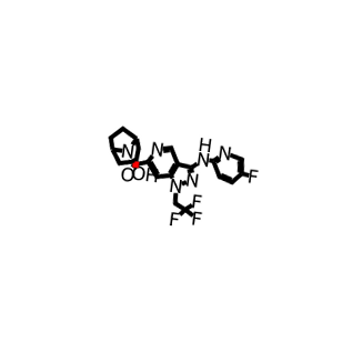 O=C(c1cc2c(cn1)c(Nc1ccc(F)cn1)nn2CC(F)(F)F)N1C2CCC1CC(O)C2